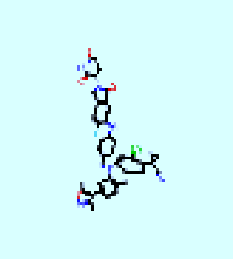 Cc1ccc(-c2c(C)noc2C)cc1N(CC1CCC(Nc2cc3c(cc2F)CN(C2CCC(=O)NC2=O)C3=O)CC1)c1ccc(C2(C#N)CC2)c(Cl)c1